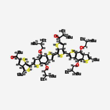 CCCCC(CC)COc1c2cc(C(C)(C)C)sc2c(OCC(CC)CCCC)c2cc(-c3sc(-c4cc5c(OCC(CC)CCCC)c6sc(-c7sc(C(C)(C)C)c8cc(C(=O)C(C)CC)sc78)cc6c(OCC(CC)CCCC)c5s4)c4sc(C(=O)C(CC)CCCC)cc34)sc12